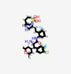 CC1CC([C@H](c2ccc(Cl)c(F)c2)[C@H](N)C(=O)Nc2cccc(F)c2CC[C@H]2CN[C@@H]3CCCS(O)(O)N2C3)C[C@@H](C)O1